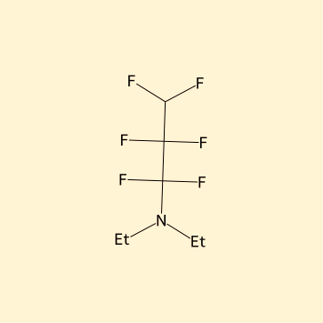 CCN(CC)C(F)(F)C(F)(F)C(F)F